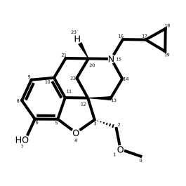 COC[C@@H]1Oc2c(O)ccc3c2[C@@]12CCN(CC1CC1)[C@@H](C3)C2